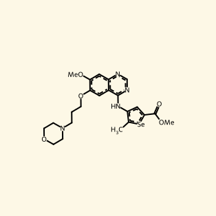 COC(=O)c1cc(Nc2ncnc3cc(OC)c(OCCCN4CCOCC4)cc23)c(C)[se]1